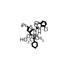 CC(C)c1cc(C(=O)N[C@](C)(C(=O)O)C2CCCCC2)c(NC(=O)Nc2c(Cl)cccc2Cl)s1